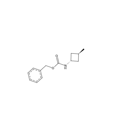 C[C@H]1C[C@H](NC(=O)OCc2ccccc2)C1